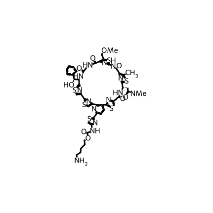 CNC(=O)C[C@@H]1NC(=O)c2csc(n2)-c2ccc(-c3nc(NC(=O)OCCCCCN)cs3)nc2-c2csc(n2)-c2csc(n2)[C@H]([C@@H](O)c2ccccc2)NC(=O)CNC(=O)c2nc(sc2COC)NC(=O)c2nc1sc2C